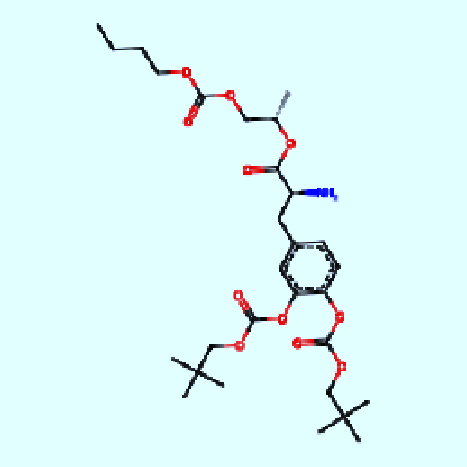 CCCCOC(=O)OC[C@H](C)OC(=O)[C@@H](N)Cc1ccc(OC(=O)OCC(C)(C)C)c(OC(=O)OCC(C)(C)C)c1